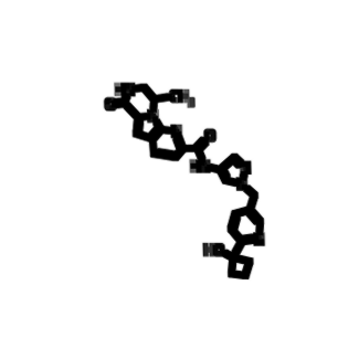 CC1CNC(=O)c2cc3ccc(C(=O)Nc4cnn(Cc5ccc(C6(O)CCC6)nc5)c4)nc3n21